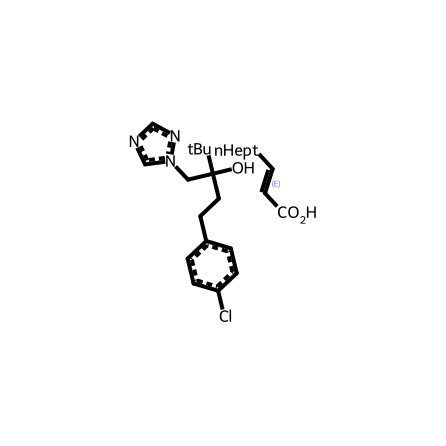 CC(C)(C)C(O)(CCc1ccc(Cl)cc1)Cn1cncn1.CCCCCCC/C=C/C(=O)O